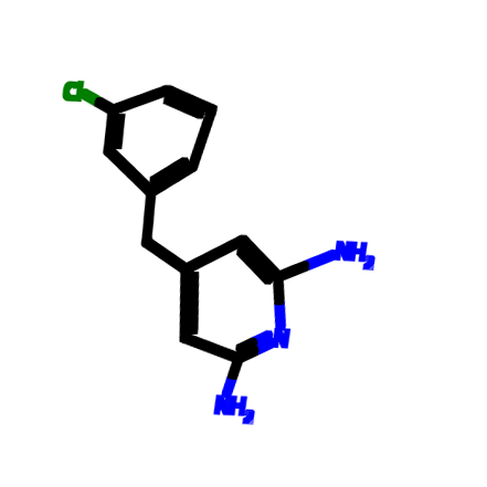 Nc1cc(Cc2cccc(Cl)c2)cc(N)n1